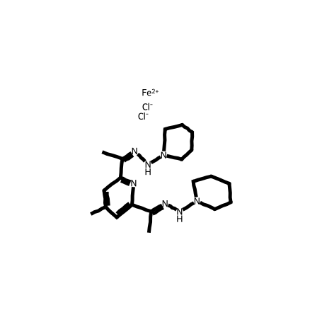 CC(=NNN1CCCCC1)c1cc(C)cc(C(C)=NNN2CCCCC2)n1.[Cl-].[Cl-].[Fe+2]